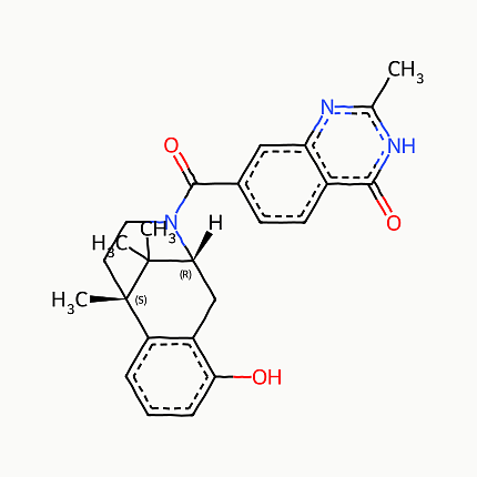 Cc1nc2cc(C(=O)N3CC[C@@]4(C)c5cccc(O)c5C[C@@H]3C4(C)C)ccc2c(=O)[nH]1